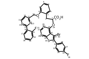 O=C(O)[C@@H](Cc1ccccc1OCc1ccnc(-c2ccccc2F)n1)Oc1ncnc2sc(-c3ccc(F)cc3)c(Br)c12